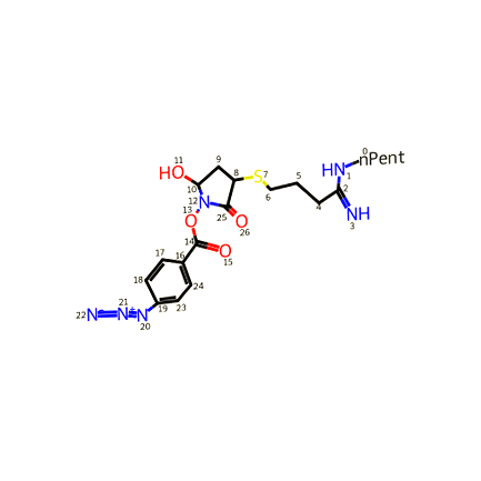 CCCCCNC(=N)CCCSC1CC(O)N(OC(=O)c2ccc(N=[N+]=[N-])cc2)C1=O